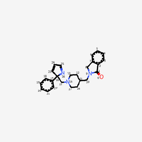 O=C1c2ccccc2CN1CC1CCN(CC2(c3ccccc3)C=CC=N2)CC1